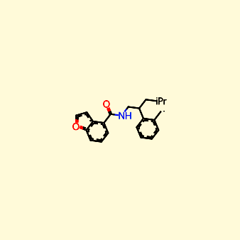 [CH2]c1ccccc1C(CNC(=O)c1cccc2occc12)CC(C)C